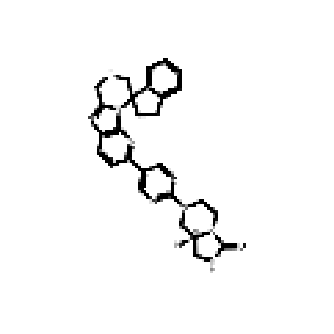 O=C1NC[C@@H]2CN(c3ncc(-c4ccc5nc6n(c5n4)C4(CCc5ccccc54)COC6)cn3)CCN12